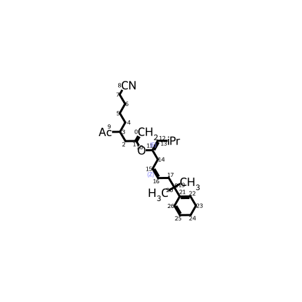 C=C(CC(CCCCC#N)C(C)=O)O/C(=C/C(C)C)C/C=C\CC(C)(C)C1=CCCC=C1